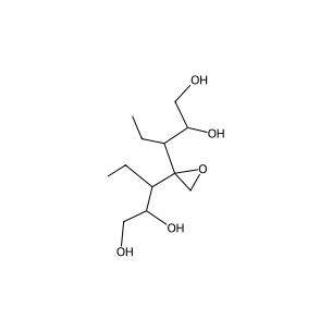 CCC(C(O)CO)C1(C(CC)C(O)CO)CO1